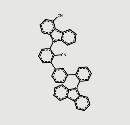 N#Cc1c(-c2cccc(-c3ccccc3-n3c4ccccc4c4ccccc43)c2)cccc1-n1c2ccccc2c2c(C#N)cccc21